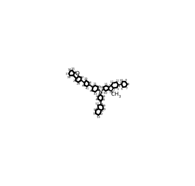 CC1c2cc(-c3ccccc3)ccc2-c2ccc(N(c3ccc(-c4ccc(-c5ccc6c(c5)oc5ccccc56)cc4)cc3)c3ccc(-c4ccc5ccccc5c4)cc3)cc21